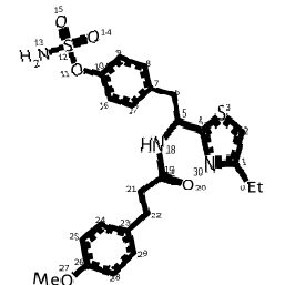 CCc1csc(C(Cc2ccc(OS(N)(=O)=O)cc2)NC(=O)CCc2ccc(OC)cc2)n1